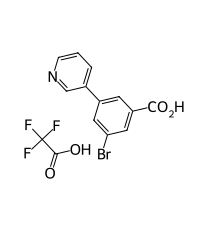 O=C(O)C(F)(F)F.O=C(O)c1cc(Br)cc(-c2cccnc2)c1